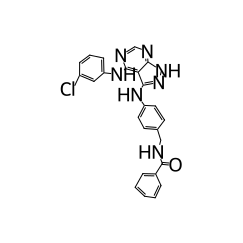 O=C(NCc1ccc(Nc2n[nH]c3ncnc(Nc4cccc(Cl)c4)c23)cc1)c1ccccc1